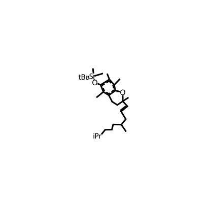 Cc1c(C)c2c(c(C)c1O[Si](C)(C)C(C)(C)C)CCC(C)(C=CCC(C)CCCC(C)C)O2